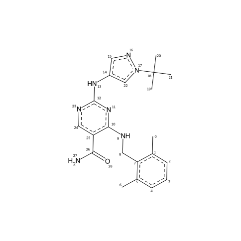 Cc1cccc(C)c1CNc1nc(Nc2cnn(C(C)(C)C)c2)ncc1C(N)=O